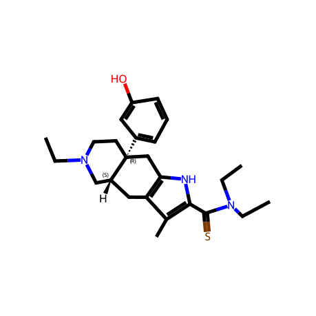 CCN1CC[C@@]2(c3cccc(O)c3)Cc3[nH]c(C(=S)N(CC)CC)c(C)c3C[C@@H]2C1